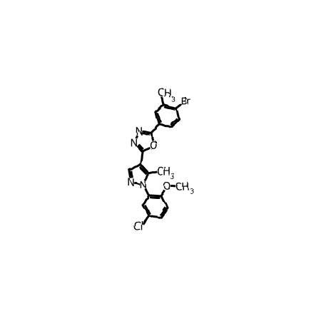 COc1ccc(Cl)cc1-n1ncc(-c2nnc(-c3ccc(Br)c(C)c3)o2)c1C